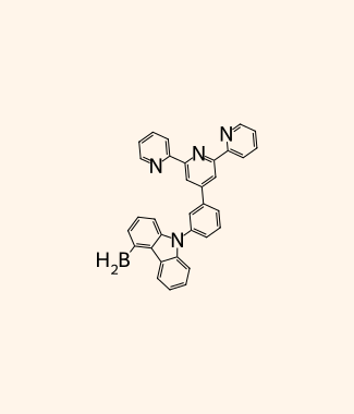 Bc1cccc2c1c1ccccc1n2-c1cccc(-c2cc(-c3ccccn3)nc(-c3ccccn3)c2)c1